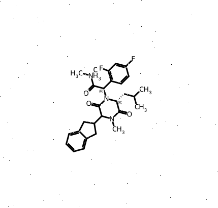 CC(C)C[C@@H]1C(=O)N(C)C(C2Cc3ccccc3C2)C(=O)N1[C@@H](C(=O)N(C)C)c1ccc(F)cc1F